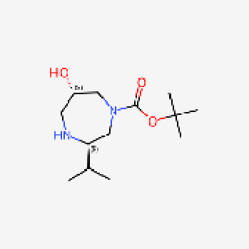 CC(C)[C@@H]1CN(C(=O)OC(C)(C)C)C[C@@H](O)CN1